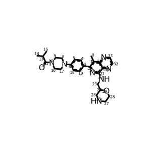 Cc1c(-c2ccc(N3CCN(C(=O)C(C)C)CC3)cc2)nc(NCC2CNCCO2)c2nccnc12